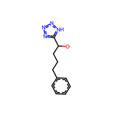 [O]C(CCCc1ccccc1)c1nnn[nH]1